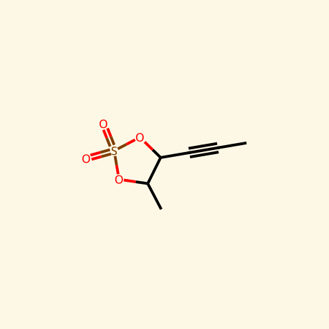 CC#CC1OS(=O)(=O)OC1C